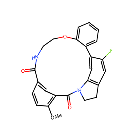 COc1ccc2cc1C(=O)N1CCc3cc(F)c(cc31)-c1ccccc1OCCNC2=O